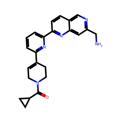 NCc1cc2nc(-c3cccc(C4=CCN(C(=O)C5CC5)CC4)n3)ccc2cn1